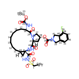 CC(C)CS(=O)(=O)NC(=O)[C@@]12C[C@H]1CCCCCCC[C@H](NC(=O)OC(C)(C)C)C(=O)N1C[C@H](OC(=O)N3Cc4cccc(F)c4C3)C[C@H]1C(=O)N2